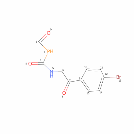 O=CPC(=O)NCC(=O)c1ccc(Br)cc1